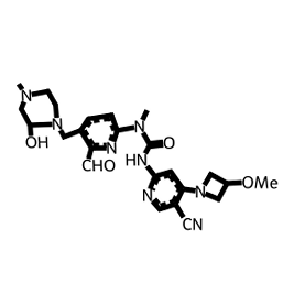 COC1CN(c2cc(NC(=O)N(C)c3ccc(CN4CCN(C)CC4O)c(C=O)n3)ncc2C#N)C1